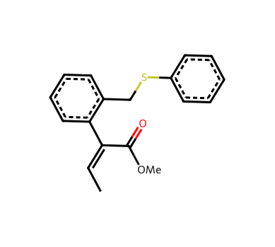 CC=C(C(=O)OC)c1ccccc1CSc1ccccc1